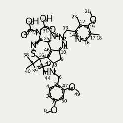 COc1ccc(CNC2CC3=NN(Cc4ncc(C)c(OC)c4C)N=C4C(N(C(=O)O)C(=O)O)=NSC(C(C)(C)C)(C(C)(C)C)C2=C34)c(OC)c1